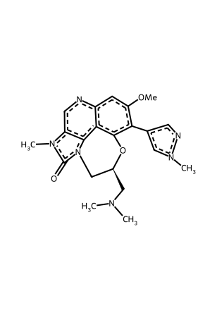 COc1cc2ncc3c4c2c(c1-c1cnn(C)c1)O[C@@H](CN(C)C)Cn4c(=O)n3C